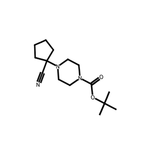 CC(C)(C)OC(=O)N1CCN(C2(C#N)CCCC2)CC1